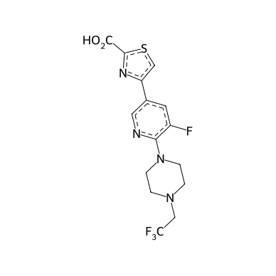 O=C(O)c1nc(-c2cnc(N3CCN(CC(F)(F)F)CC3)c(F)c2)cs1